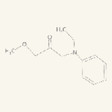 CCN(CC(=O)COC)c1ccccc1